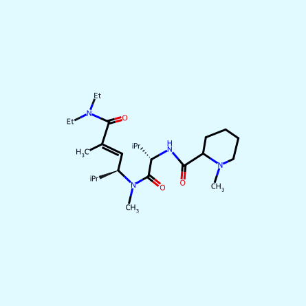 CCN(CC)C(=O)/C(C)=C/[C@H](C(C)C)N(C)C(=O)[C@@H](NC(=O)C1CCCCN1C)C(C)C